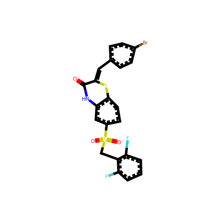 O=C1Nc2cc(S(=O)(=O)Cc3c(F)cccc3F)ccc2SC1=Cc1ccc(Br)cc1